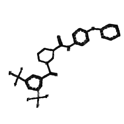 O=C(Nc1ccc(Oc2ccccc2)cc1)C1CCCN(C(=O)c2cc(C(F)(F)F)cc(C(F)(F)F)c2)C1